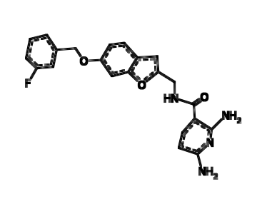 Nc1ccc(C(=O)NCc2cc3ccc(OCc4cccc(F)c4)cc3o2)c(N)n1